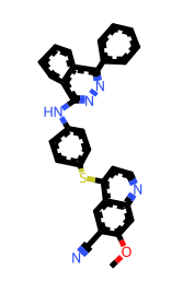 COc1cc2nccc(Sc3ccc(Nc4nnc(-c5ccccc5)c5ccccc45)cc3)c2cc1C#N